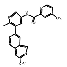 CNc1cc2ncc(-c3cc(NC(=N)c4cc(C(F)(F)F)ccn4)cnc3C)cc2cn1